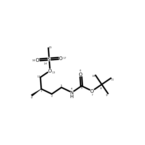 C[C@H](CCNC(=O)OC(C)(C)C)COS(C)(=O)=O